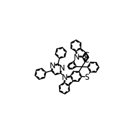 c1ccc(-c2cc(-n3c4ccccc4c4cc5c(cc43)C3(c4ccccc4S5)c4ccccc4-n4c5ccccc5c5cccc3c54)nc(-c3ccccc3)n2)cc1